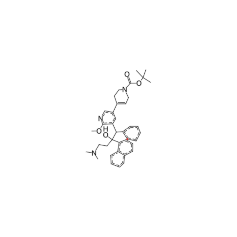 COc1ncc(C2=CCN(C(=O)OC(C)(C)C)CC2)cc1C(c1ccccc1)C(O)(CCN(C)C)c1cccc2ccccc12